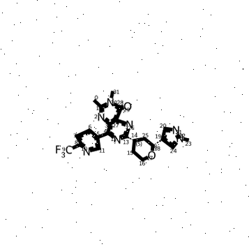 Cc1nc2c(-c3ccc(C(F)(F)F)nc3)nc([C@H]3CCO[C@@H](c4cnn(C)c4)C3)nc2c(=O)n1C